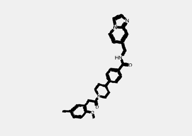 COc1ccc(C)cc1CC(=O)N1CCC(c2ccc(C(=O)NCc3ccn4ccnc4c3)cc2)CC1